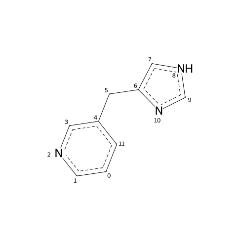 c1cncc(Cc2c[nH]cn2)c1